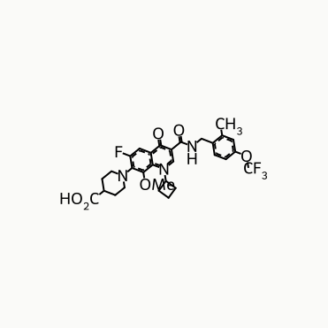 COc1c(N2CCC(C(=O)O)CC2)c(F)cc2c(=O)c(C(=O)NCc3ccc(OC(F)(F)F)cc3C)cn(C3CCC3)c12